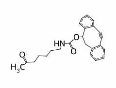 CC(=O)CCCCCNC(=O)OC1Cc2ccccc2C#Cc2ccccc21